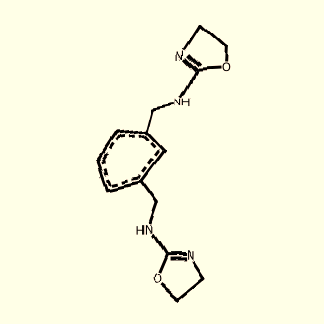 c1cc(CNC2=NCCO2)cc(CNC2=NCCO2)c1